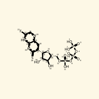 O=P(O)(O)OP(=O)(O)OP(=O)(O)OC[C@H]1O[C@@H](c2cc3ncc(F)[nH]c-3nc2=S)[C@@H](O)C1O